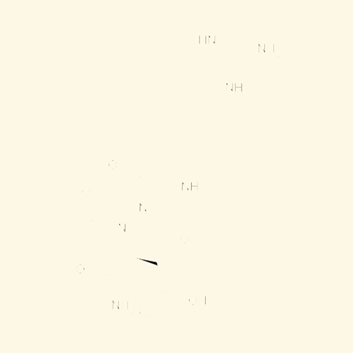 CC(=O)N([C@@H](CC(=O)O)C(N)=O)N1C(=O)NC(CCCNC(=N)N)C1=O